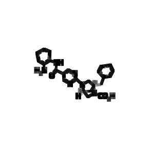 Nc1ccccc1NC(=O)c1cnc(N2C[C@]3(Cc4ccccc4)C[C@H]2CN3C(=O)O)nc1